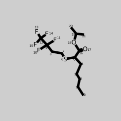 CCCCCC(SCCC(F)(F)C(F)(F)F)C(=O)OC(C)C